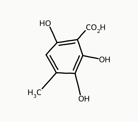 Cc1cc(O)c(C(=O)O)c(O)c1O